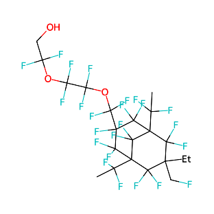 CCC1(CF)C(F)(F)C2(C(C)(F)F)C(F)(F)C(F)(C(F)(F)OC(F)(F)C(F)(F)OC(F)(F)CO)C(F)(F)C(C(C)(F)F)(C1(F)F)C2(F)F